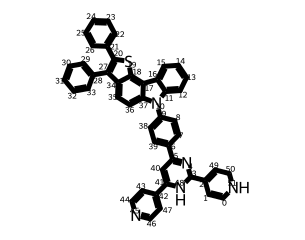 C1=CC(C2N=C(c3ccc(-n4c5ccccc5c5c6sc(-c7ccccc7)c(-c7ccccc7)c6ccc54)cc3)C=C(c3ccncc3)N2)=CCN1